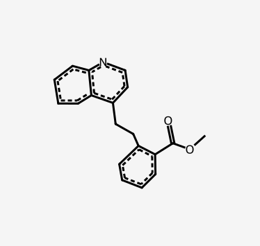 COC(=O)c1ccccc1CCc1ccnc2ccccc12